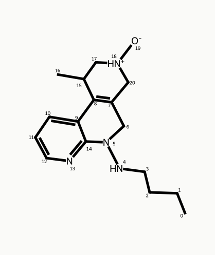 CCCCNN1CC2=C(c3cccnc31)C(C)C[NH+]([O-])C2